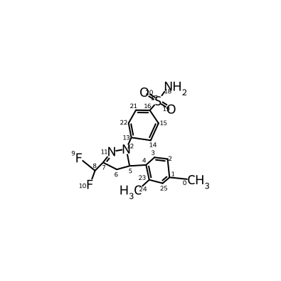 Cc1ccc(C2CC(C(F)F)=NN2c2ccc(S(N)(=O)=O)cc2)c(C)c1